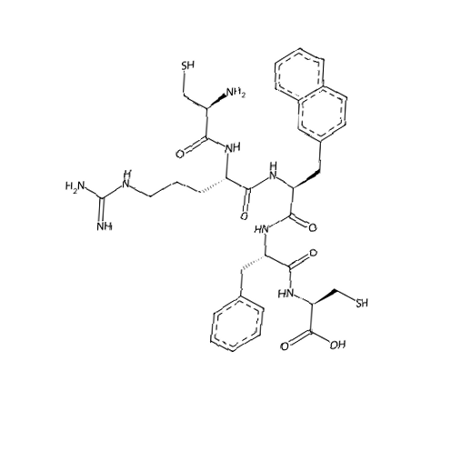 N=C(N)NCCC[C@H](NC(=O)[C@H](N)CS)C(=O)N[C@@H](Cc1ccc2ccccc2c1)C(=O)N[C@@H](Cc1ccccc1)C(=O)N[C@@H](CS)C(=O)O